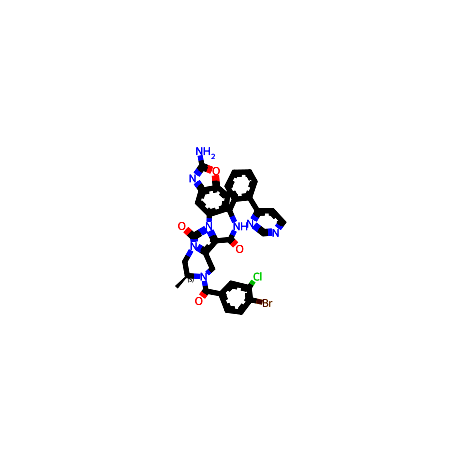 C[C@H]1Cn2c(c(C(=O)NCc3ccccc3-c3ccncn3)n(-c3ccc4oc(N)nc4c3)c2=O)CN1C(=O)c1ccc(Br)c(Cl)c1